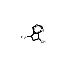 CC1CC(O)c2ncncc21